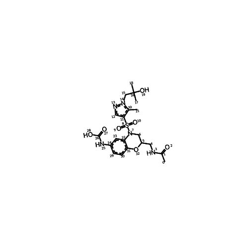 CC(=O)NCC1CN(S(=O)(=O)c2cnn(CC(C)(C)O)c2C)c2cc(NC(=O)O)ccc2O1